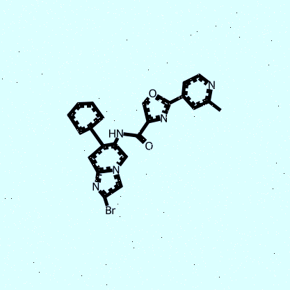 Cc1cc(-c2nc(C(=O)Nc3cn4cc(Br)nc4cc3-c3ccccc3)co2)ccn1